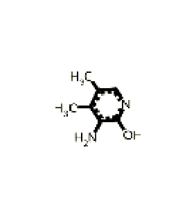 Cc1cnc(O)c(N)c1C